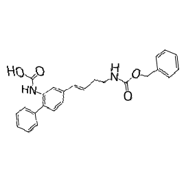 O=C(O)Nc1cc(C=CCCNC(=O)OCc2ccccc2)ccc1-c1ccccc1